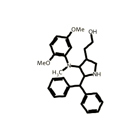 COc1ccc(OC)c(N(C)C2C(CCO)CNC2C(c2ccccc2)c2ccccc2)c1